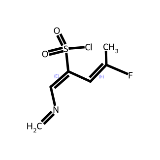 C=N/C=C(\C=C(/C)F)S(=O)(=O)Cl